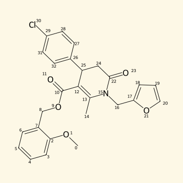 COc1ccccc1COC(=O)C1=C(C)N(Cc2ccco2)C(=O)CC1c1ccc(Cl)cc1